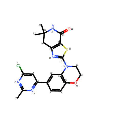 Cc1nc(Cl)cc(-c2ccc3c(c2)N(c2nc4c(s2)C(=O)NC(C)(C)C4)CCO3)n1